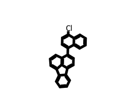 Clc1ccc(-c2ccc3c4c(cccc24)-c2ccccc2-3)c2ccccc12